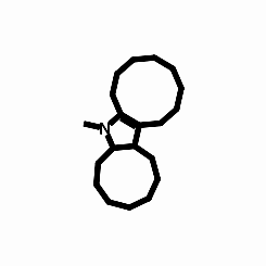 CN1C2=C(CCCCCCCC2)C2CCCCCCCC21